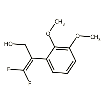 COc1cccc(C(CO)=C(F)F)c1OC